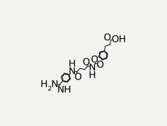 N=C(N)c1ccc(NC(=O)CCC(=O)NC2Oc3ccc(CCC(=O)O)cc3O2)cc1